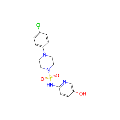 O=S(=O)(Nc1ccc(O)cn1)N1CCN(c2ccc(Cl)cc2)CC1